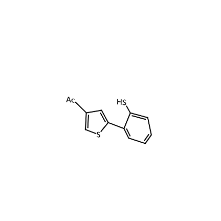 CC(=O)c1csc(-c2ccccc2S)c1